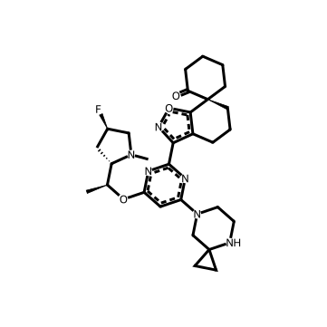 C[C@H](Oc1cc(N2CCNC3(CC3)C2)nc(-c2noc3c2CCC[C@@]32CCCCC2=O)n1)[C@@H]1C[C@@H](F)CN1C